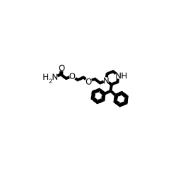 NC(=O)COCCOCCN1CCNCC1C(c1ccccc1)c1ccccc1